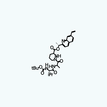 C=Cc1ccc2ccc([C@@H](C)OC(=O)C3CCCN(C(=O)C(C)NC(=O)[C@@H](NC(=O)OC(C)(C)C)C(C)C)N3)nc2c1